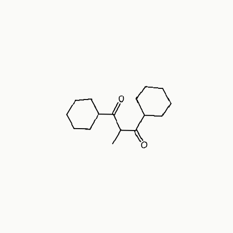 CC(C(=O)C1CCCCC1)C(=O)C1CCCCC1